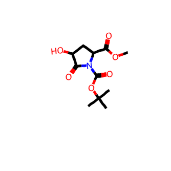 COC(=O)C1CC(O)C(=O)N1C(=O)OC(C)(C)C